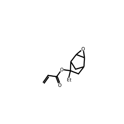 C=CC(=O)OC1(CC)CC2CC1C1OC21